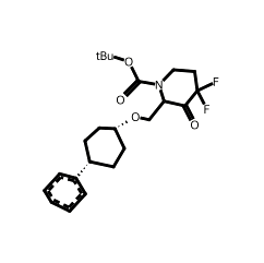 CC(C)(C)OC(=O)N1CCC(F)(F)C(=O)C1CO[C@H]1CC[C@@H](c2ccccc2)CC1